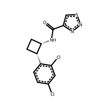 O=C(N[C@H]1CC[C@H]1c1ccc(Cl)cc1Cl)c1csnn1